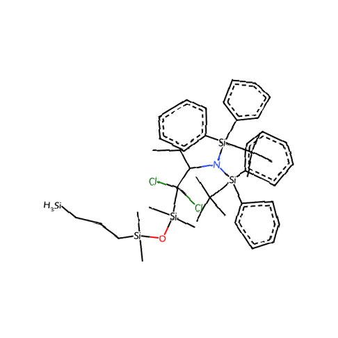 CCC(N([Si](c1ccccc1)(c1ccccc1)C(C)(C)C)[Si](c1ccccc1)(c1ccccc1)C(C)(C)C)C(Cl)(Cl)[Si](C)(C)O[Si](C)(C)CCC[SiH3]